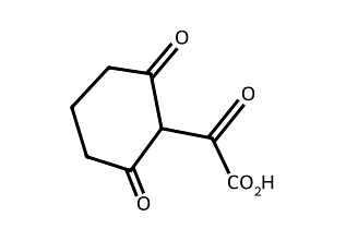 O=C(O)C(=O)C1C(=O)CCCC1=O